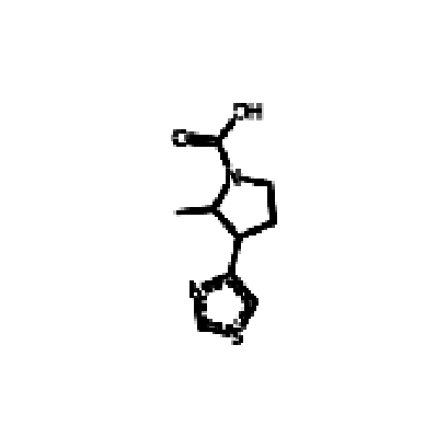 CC1C(c2cscn2)CCN1C(=O)O